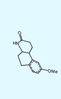 COc1ccc2c(c1)C1CCC(=O)NC1CC2